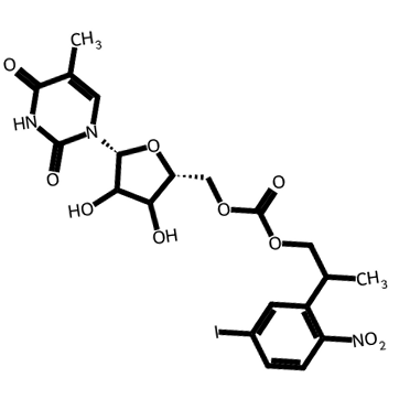 Cc1cn([C@@H]2O[C@H](COC(=O)OCC(C)c3cc(I)ccc3[N+](=O)[O-])C(O)C2O)c(=O)[nH]c1=O